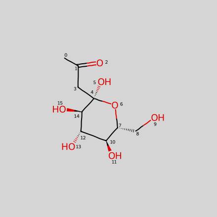 CC(=O)C[C@@]1(O)O[C@H](CO)[C@@H](O)[C@H](O)[C@H]1O